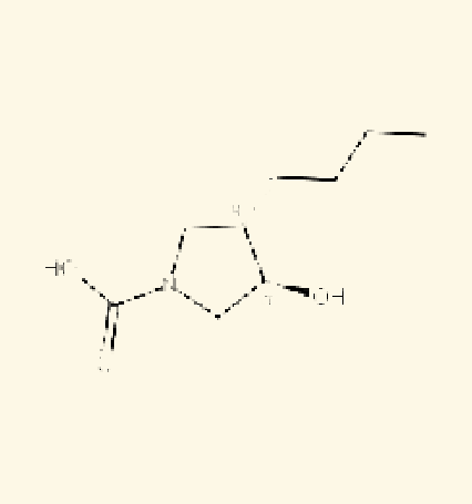 CCCC[C@H]1CN(C(=O)O)C[C@@H]1O